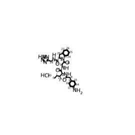 CC[C@H](C)[C@H](NC(=O)Cc1ccc(N)cc1)C(=O)NCC(=O)N1c2ccccc2C[C@H]1C(=O)NCc1nn[nH]n1.Cl